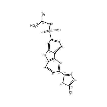 CC(C)[C@H](NS(=O)(=O)c1ccc2c(c1)oc1ccc(-c3ncc(Cl)s3)cc12)C(=O)O